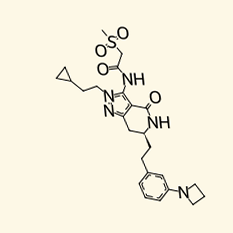 CS(=O)(=O)CC(=O)Nc1c2c(nn1CCC1CC1)C[C@H](CCc1cccc(N3CCC3)c1)NC2=O